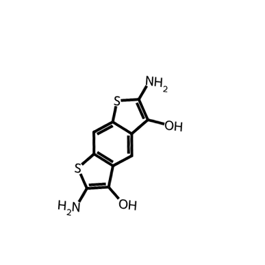 Nc1sc2cc3sc(N)c(O)c3cc2c1O